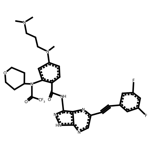 CN(C)CCCN(C)c1ccc(C(=O)Nc2n[nH]c3ncc(C#Cc4cc(F)cc(F)c4)nc23)c(N(C(=O)C(F)(F)F)C2CCOCC2)c1